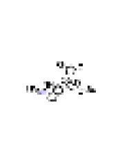 CC(C)(C)OC(=O)CN(c1ccc2c(/C(N)=N/O)cccc2c1)S(=O)(=O)c1cc(Cl)cc(Cl)c1